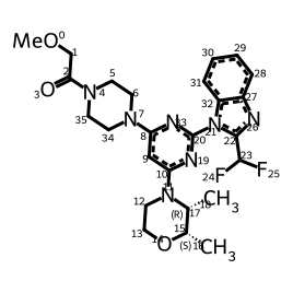 COCC(=O)N1CCN(c2cc(N3CCO[C@@H](C)[C@H]3C)nc(-n3c(C(F)F)nc4ccccc43)n2)CC1